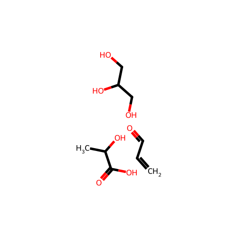 C=CC=O.CC(O)C(=O)O.OCC(O)CO